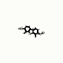 CCCCc1ccc2c(sc3c(C)c(OCC)ccc32)c1C